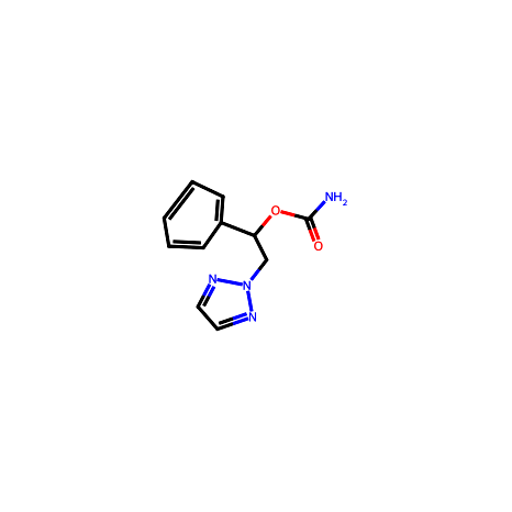 NC(=O)OC(Cn1nccn1)c1ccccc1